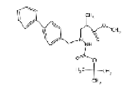 COC(=O)C(C)CN(Cc1ccc(-c2ccccc2)cc1)NC(=O)OC(C)(C)C